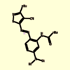 CCCCC(=O)Nc1cc(N(CC)CC)ccc1/N=N/c1snc(CCCC)c1C#N